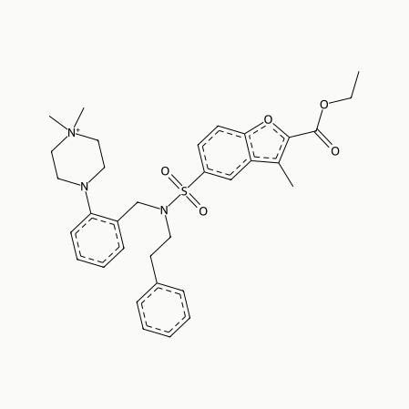 CCOC(=O)c1oc2ccc(S(=O)(=O)N(CCc3ccccc3)Cc3ccccc3N3CC[N+](C)(C)CC3)cc2c1C